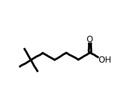 CC(C)(C)CCCCC(=O)O